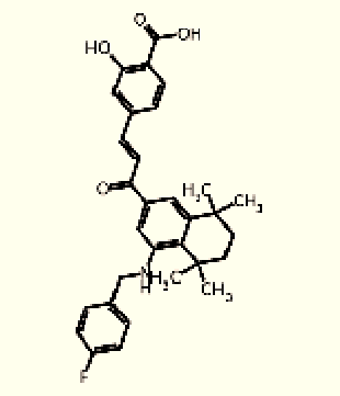 CC1(C)CCC(C)(C)c2c(NCc3ccc(F)cc3)cc(C(=O)C=Cc3ccc(C(=O)O)c(O)c3)cc21